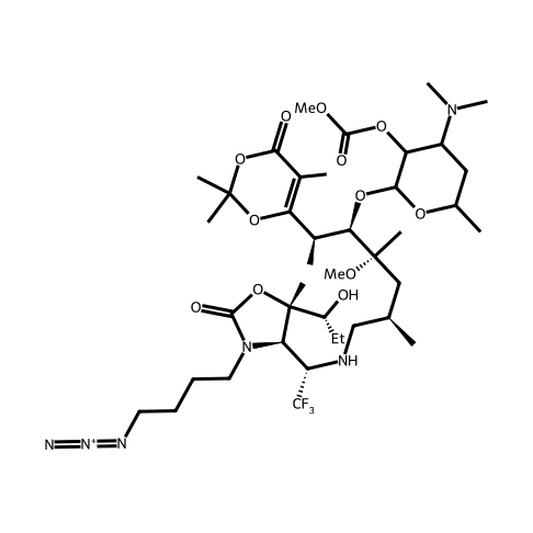 CC[C@@H](O)[C@@]1(C)OC(=O)N(CCCCN=[N+]=[N-])[C@@H]1[C@H](NC[C@H](C)C[C@@](C)(OC)[C@H](OC1OC(C)CC(N(C)C)C1OC(=O)OC)[C@@H](C)C1=C(C)C(=O)OC(C)(C)O1)C(F)(F)F